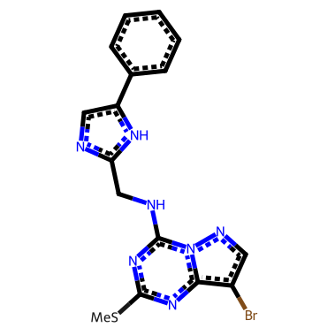 CSc1nc(NCc2ncc(-c3ccccc3)[nH]2)n2ncc(Br)c2n1